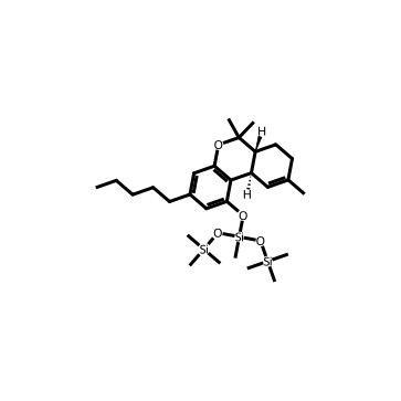 CCCCCc1cc2c(c(O[Si](C)(O[Si](C)(C)C)O[Si](C)(C)C)c1)[C@@H]1C=C(C)CC[C@H]1C(C)(C)O2